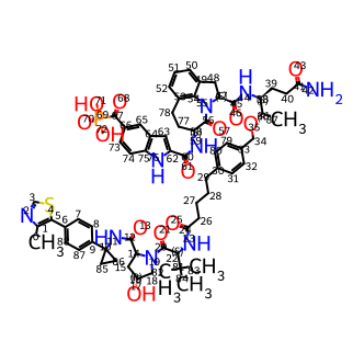 Cc1ncsc1-c1ccc(C2(NC(=O)C3C[C@@H](O)CN3C(=O)[C@@H](NC(=O)CCCCc3ccc(CO[C@H](C)[C@H](CCC(N)=O)NC(=O)[C@@H]4Cc5cccc6c5N4C(=O)[C@@H](NC(=O)c4cc5cc(C(=O)P(=O)(O)O)ccc5[nH]4)CC6)cc3)C(C)(C)C)CC2)cc1